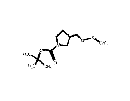 CSOCC1CCN(C(=O)OC(C)(C)C)C1